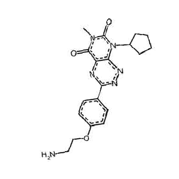 Cn1c(=O)c2nc(-c3ccc(OCCN)cc3)nnc2n(C2CCCC2)c1=O